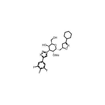 CO[C@@H]1[C@@H](n2cc(-c3cc(F)c(F)c(F)c3)nn2)[C@@H](O)[C@@H](CO)O[C@@H]1C[C@H]1CC(C2CCCCC2)=NO1